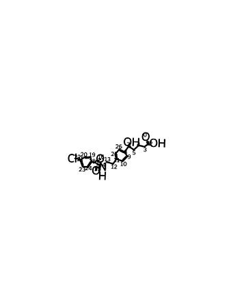 O=C(O)CCCC(O)c1ccc(CCNS(=O)(=O)c2ccc(Cl)cc2)cc1